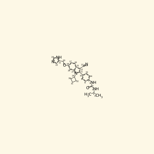 CC(C)NC(=O)Nc1ccc(-c2c(C#N)c3ccc(OCc4cnc[nH]4)cc3n2C2CCC2)cc1